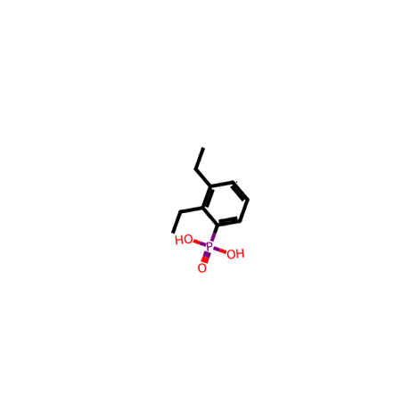 CCc1[c]ccc(P(=O)(O)O)c1CC